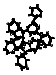 c1ccc(-c2cc(-n3c4ccccc4c4c5cccnc5c5c(c6ccccc6n5-c5ccccc5)c43)cc(-c3ccccc3)n2)cc1